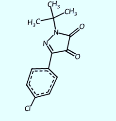 CC(C)(C)N1N=C(c2ccc(Cl)cc2)C(=O)C1=O